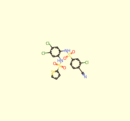 N#Cc1ccc(S(=O)(=O)Nc2cc(Cl)c(Cl)cc2NS(=O)(=O)c2cccs2)cc1Cl